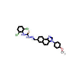 FC(F)(F)Oc1ccc(-n2cnc3c4ccc(/C=N/NC(=S)Nc5c(Br)cccc5Br)cc4ccc32)cc1